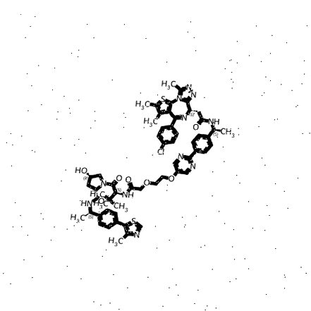 Cc1ncsc1-c1ccc([C@H](C)NC(=O)[C@@H]2C[C@@H](O)CN2C(=O)[C@@H](NC(=O)COCCOc2cnc(-c3ccc([C@H](C)NC(=O)C[C@@H]4N=C(c5ccc(Cl)cc5)c5c(sc(C)c5C)-n5c(C)nnc54)cc3)nc2)C(C)(C)C)cc1